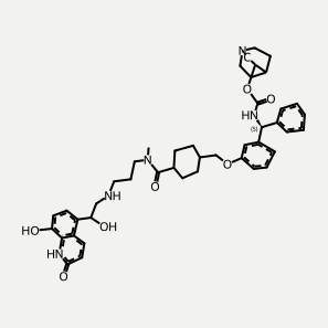 CN(CCCNCC(O)c1ccc(O)c2[nH]c(=O)ccc12)C(=O)C1CCC(COc2cccc([C@@H](NC(=O)OC3CN4CCC3CC4)c3ccccc3)c2)CC1